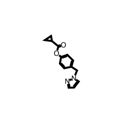 O=C(Oc1ccc(Cn2cccn2)cc1)C1CC1